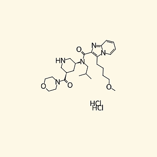 COCCCCc1c(C(=O)N(CC(C)C)[C@@H]2CNC[C@H](C(=O)N3CCOCC3)C2)nc2ccccn12.Cl.Cl